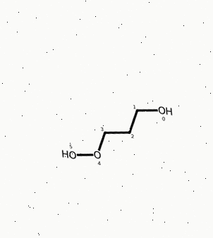 OCCCOO